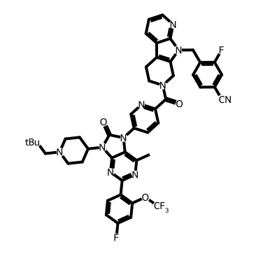 Cc1nc(-c2ccc(F)cc2OC(F)(F)F)nc2c1n(-c1ccc(C(=O)N3CCc4c(n(Cc5ccc(C#N)cc5F)c5ncccc45)C3)nc1)c(=O)n2C1CCN(CC(C)(C)C)CC1